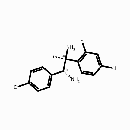 C[C@](N)(c1ccc(Cl)cc1F)[C@H](N)c1ccc(Cl)cc1